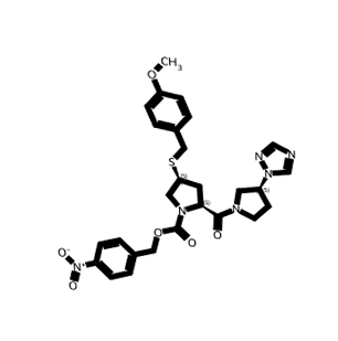 COc1ccc(CS[C@H]2C[C@@H](C(=O)N3CC[C@H](n4cncn4)C3)N(C(=O)OCc3ccc([N+](=O)[O-])cc3)C2)cc1